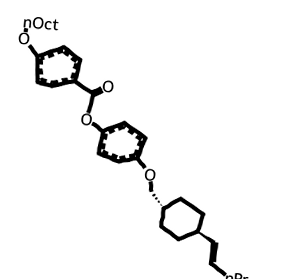 CCCC=C[C@H]1CC[C@H](COc2ccc(OC(=O)c3ccc(OCCCCCCCC)cc3)cc2)CC1